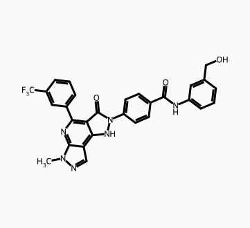 Cn1ncc2c3[nH]n(-c4ccc(C(=O)Nc5cccc(CO)c5)cc4)c(=O)c3c(-c3cccc(C(F)(F)F)c3)nc21